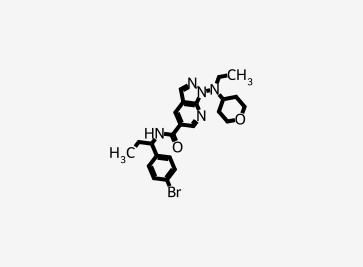 CCC(NC(=O)c1cnc2c(cnn2N(CC)C2CCOCC2)c1)c1ccc(Br)cc1